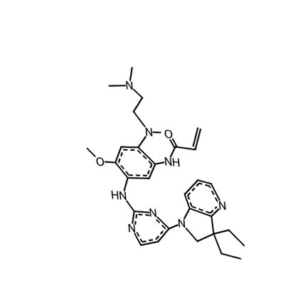 C=CC(=O)Nc1cc(Nc2nccc(N3CC(CC)(CC)c4ncccc43)n2)c(OC)cc1N(C)CCN(C)C